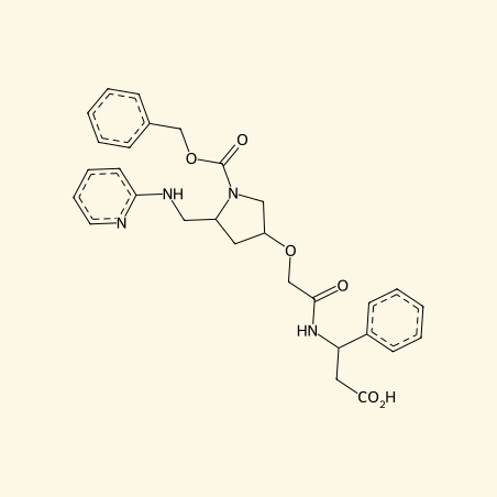 O=C(O)CC(NC(=O)COC1CC(CNc2ccccn2)N(C(=O)OCc2ccccc2)C1)c1ccccc1